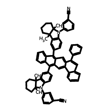 CC12CCCCC1(C)N(c1cccc(C#N)c1)c1ccc(-c3c4ccccc4c(-c4ccc5c(c4)C4(C)CCCCC4(C)N5c4cccc(C#N)c4)c4cc5c(cc34)c(-c3ccccc3)cc3ccccc35)cc12